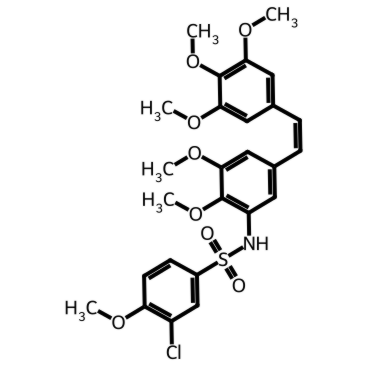 COc1ccc(S(=O)(=O)Nc2cc(/C=C\c3cc(OC)c(OC)c(OC)c3)cc(OC)c2OC)cc1Cl